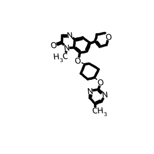 Cc1cnc(O[C@H]2CC[C@@H](Oc3cc(C4=CCOCC4)cc4ncc(=O)n(C)c34)CC2)nc1